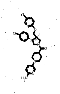 C[C@]1(COc2ccc(Cl)cn2)CN(C(=O)C2CCN(c3ccc(N)nc3)CC2)C[C@@H]1c1ccc(Cl)cc1